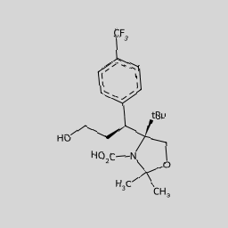 CC1(C)OC[C@]([C@@H](CCO)c2ccc(C(F)(F)F)cc2)(C(C)(C)C)N1C(=O)O